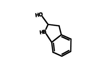 OC1Bc2ccccc2C1